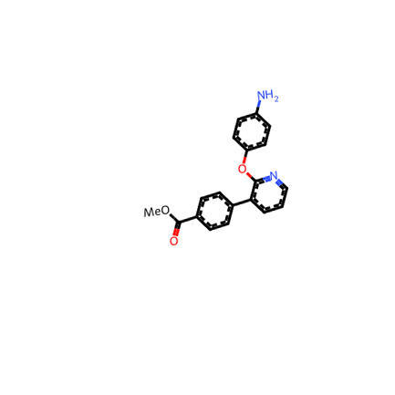 COC(=O)c1ccc(-c2cccnc2Oc2ccc(N)cc2)cc1